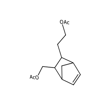 CC(=O)OCCC1C2C=CC(C2)C1COC(C)=O